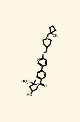 CC1(C(=O)O)CC(O)CN1C(=O)c1ccc(-c2ccc(OCC3CCN(CC4(C(F)(F)F)CCC4)CC3)nc2)cc1